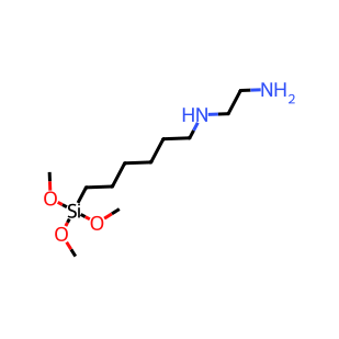 CO[Si](CCCCCCNCCN)(OC)OC